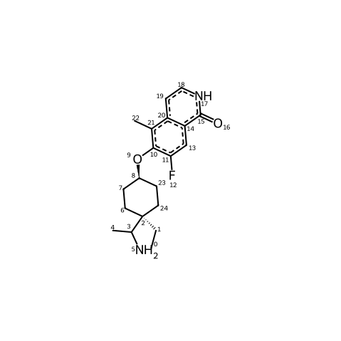 CC[C@]1(C(C)N)CC[C@@H](Oc2c(F)cc3c(=O)[nH]ccc3c2C)CC1